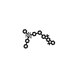 CC1(C)c2ccccc2-c2cc3c(cc21)-c1ccc(-c2cccc(-c4ccc(-c5nc(-c6ccccc6)nc(-c6ccc(-c7ccccc7)cc6)n5)cc4)c2)cc1C3(C)C